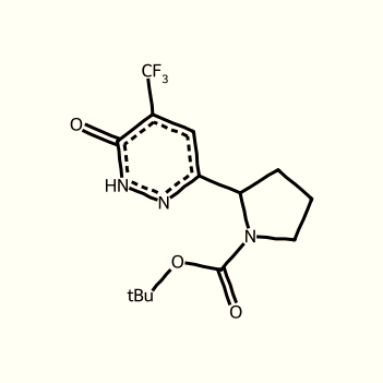 CC(C)(C)OC(=O)N1CCCC1c1cc(C(F)(F)F)c(=O)[nH]n1